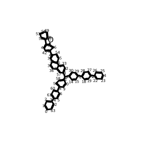 c1ccc(-c2ccc(-c3ccc(C(c4ccc(-c5ccc(-c6ccccc6)cc5)cc4)c4ccc5c(ccc6cc(-c7ccc8c(c7)oc7ccccc78)ccc65)c4)cc3)cc2)cc1